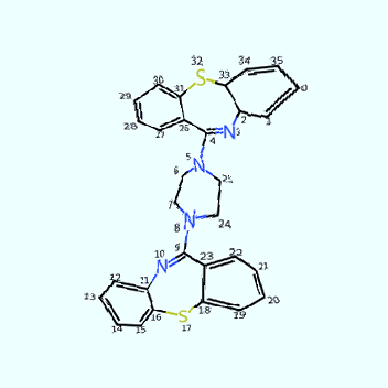 C1=CC2N=C(N3CCN(C4=Nc5ccccc5Sc5ccccc54)CC3)c3ccccc3SC2C=C1